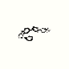 CC1(O)CCN(c2ncc(-c3ccc4nc5n(c4c3)[C@@H](c3ccccc3)COC5)cn2)CC1